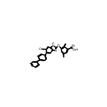 Cc1cc(Oc2nc3cc(-c4ccc(-c5ccccc5)cc4)c(Cl)cc3[nH]2)c(C)c(C(=O)O)c1